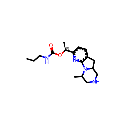 CCCNC(=O)O[C@@H](C)c1ccc2c(n1)N1C(C)CNCC1C2